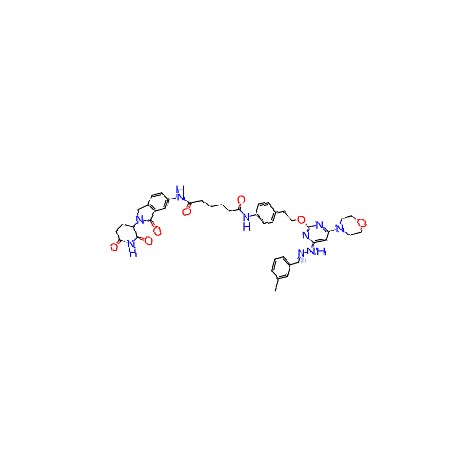 Cc1cccc(/C=N/Nc2cc(N3CCOCC3)nc(OCCc3ccc(NC(=O)CCCCC(=O)Nc4ccc5c(c4)C(=O)N(C4CCC(=O)NC4=O)C5)cc3)n2)c1